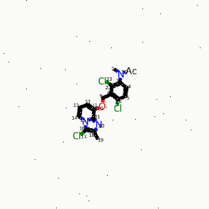 CC(=O)N(C)c1ccc(Cl)c(COc2cccn3c(Cl)c(C)nc23)c1Cl